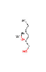 CC(C)CCCCCO.CC(C)O.[W]